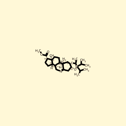 COC(=O)[C@H]1CC[C@H]2[C@@H]3CN=C4C[C@@H](O[Si](C(C)C)(C(C)C)C(C)C)CC[C@]4(C)[C@H]3CC[C@]12C